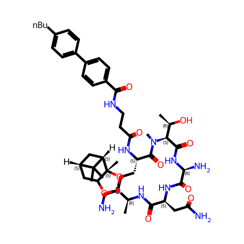 CCCCc1ccc(-c2ccc(C(=O)NCCC(=O)N[C@@H](CCCCN)C(=O)N(C)[C@H](C(=O)N[C@@H](N)C(=O)N[C@@H](CC(N)=O)C(=O)N[C@@H](C)B3OC4C[C@@H]5C[C@@H](C5(C)C)[C@]4(C)O3)[C@@H](C)O)cc2)cc1